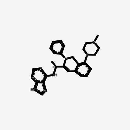 C[C@H](Nc1ncnc2[nH]cnc12)C1=Cc2cccc(N3CCN(C)CC3)c2CN1c1ccccc1